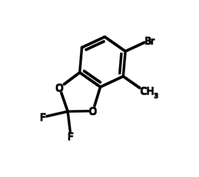 Cc1c(Br)ccc2c1OC(F)(F)O2